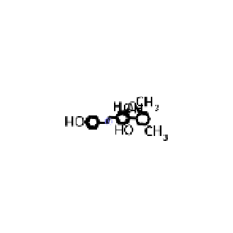 C=C(C)C1CCC(C)=CC1c1c(O)cc(/C=C/c2ccc(O)cc2)cc1O